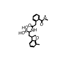 Cc1cccc2c1OCC2CC(NC(=O)Cc1ccccc1C(=O)N(C)C)B(O)O